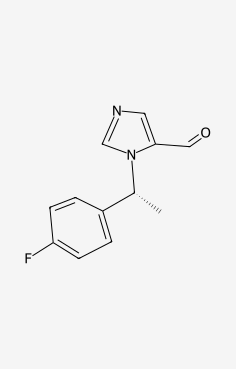 C[C@H](c1ccc(F)cc1)n1cncc1C=O